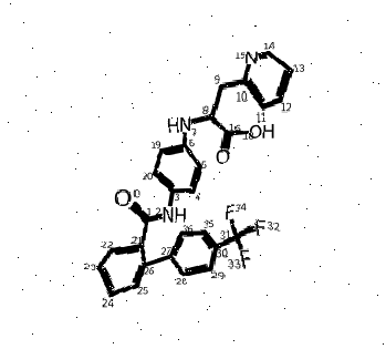 O=C(Nc1ccc(NC(Cc2ccccn2)C(=O)O)cc1)c1ccccc1-c1ccc(C(F)(F)F)cc1